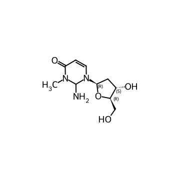 CN1C(=O)C=CN([C@H]2C[C@H](O)[C@@H](CO)O2)C1N